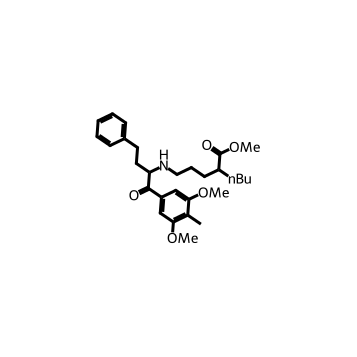 CCCCC(CCCNC(CCc1ccccc1)C(=O)c1cc(OC)c(C)c(OC)c1)C(=O)OC